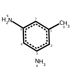 Cc1cccc(N)c1.N